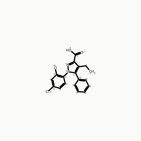 CCc1c(C(=O)O)nn(-c2ccc(Cl)cc2Cl)c1-c1ccccc1